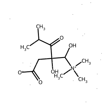 CC(C)C(=O)C(O)(CC(=O)[O-])C(O)[N+](C)(C)C